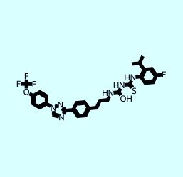 CC(C)c1cc(F)ccc1NC(=S)NC(O)NCCCc1ccc(-c2ncn(-c3ccc(OC(F)(F)F)cc3)n2)cc1